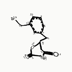 O=C1NC(=O)C(Cc2cccc(CBr)c2)O1